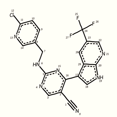 N#Cc1cnc(NCc2ccc(Cl)nc2)nc1-c1c[nH]c2ncc(C(F)(F)F)cc12